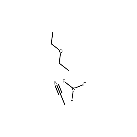 CC#N.CCOCC.FB(F)F